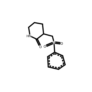 O=C1NCCCC1CS(=O)(=O)c1ccccc1